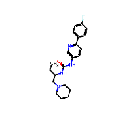 CCC(CN1CCCCC1)NC(=O)Nc1ccc(-c2ccc(F)cc2)nc1